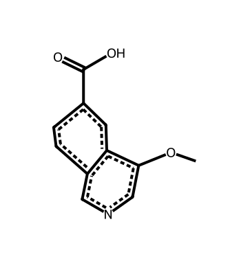 COc1cncc2ccc(C(=O)O)cc12